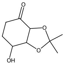 CC1(C)OC2C(=O)CCC(O)C2O1